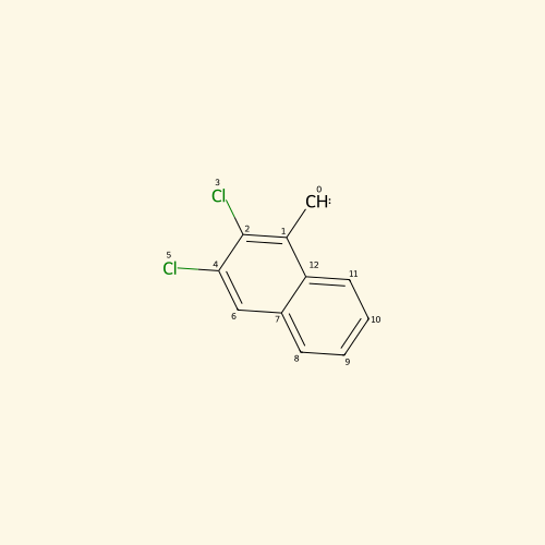 [CH]c1c(Cl)c(Cl)cc2ccccc12